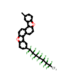 Cc1ccc2oc3ccc4c(ccc5oc6ccc(C(F)(F)C(F)(F)C(F)(F)C(F)(F)C(F)(F)C(F)(F)C(F)(F)C(F)(F)F)cc6c54)c3c2c1